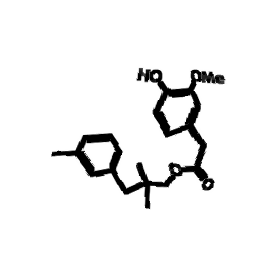 COc1cc(CC(=O)OCC(C)(C)Cc2cccc(C)c2)ccc1O